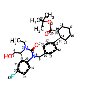 CCN(CCO)C(=O)N(Cc1ccc([C@@H]2CCCC[C@H]2C(=O)OC(C)(C)C)cc1)c1ccc(F)cc1